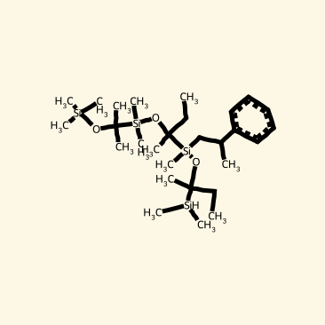 CCC(C)(O[Si](C)(CC(C)c1ccccc1)C(C)(CC)O[Si](C)(C)C(C)(C)O[Si](C)(C)C)[SiH](C)C